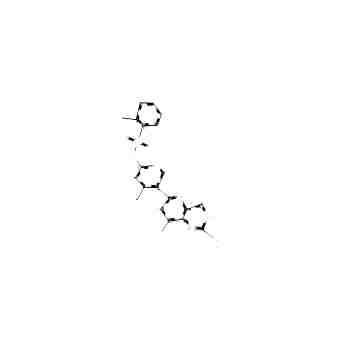 Cc1cc(NS(=O)(=O)c2ccccc2Cl)ncc1-c1cc(C)c2nc(N)ncc2n1